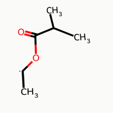 C[CH]OC(=O)C(C)C